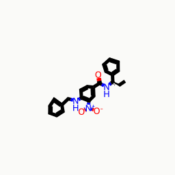 CC[C@@H](NC(=O)c1ccc(NCc2ccccc2)c([N+](=O)[O-])c1)c1ccccc1